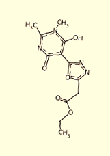 CCOC(=O)Cc1nnc(-c2c(O)n(C)c(C)nc2=O)o1